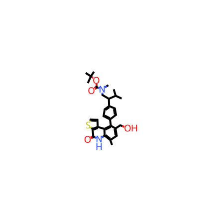 Cc1cc(CO)c(-c2ccc(C(CN(C)C(=O)OC(C)(C)C)C(C)C)cc2)c2c1[nH]c(=O)c1sccc12